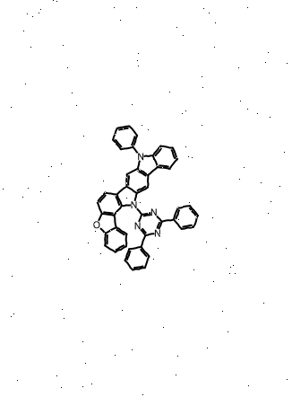 c1ccc(-c2nc(-c3ccccc3)nc(-n3c4cc5c6ccccc6n(-c6ccccc6)c5cc4c4ccc5oc6ccccc6c5c43)n2)cc1